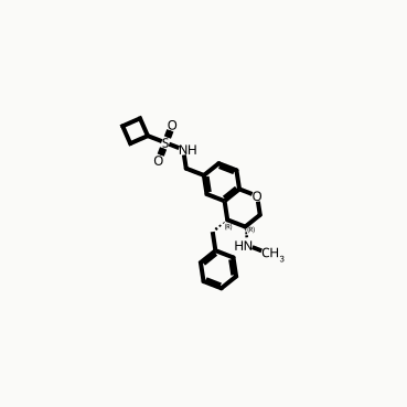 CN[C@H]1COc2ccc(CNS(=O)(=O)C3CCC3)cc2[C@H]1Cc1ccccc1